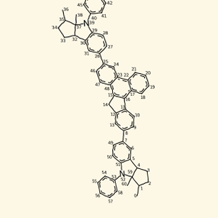 CC1CCC2c3cc(-c4ccc5c(c4)Cc4c-5c5ccccc5c5cc(-c6ccc7c(c6)C6CCC(C)C6(C)N7c6ccccc6)ccc45)ccc3N(c3ccccc3)C12C